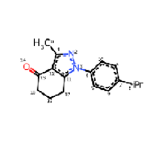 Cc1nn(-c2ccc(C(C)C)cc2)c2c1C(=O)CCC2